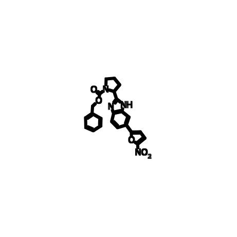 O=C(OCc1ccccc1)N1CCCC1c1nc2ccc(-c3ccc([N+](=O)[O-])o3)cc2[nH]1